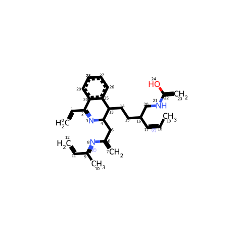 C=CC1=NC(CC(=C)/N=C(\C)C=C)C(CCC(/C=C\C)CNC(=C)O)c2ccccc21